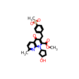 COC(=O)c1c(Cc2ccc(S(C)(=O)=O)cc2)c(=O)c2ccc(C)nc2n1[C@H]1CC[C@H](O)C1